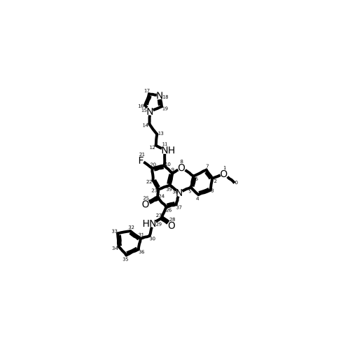 COc1ccc2c(c1)Oc1c(NCCCn3ccnc3)c(F)cc3c(=O)c(C(=O)NCc4ccccc4)cn-2c13